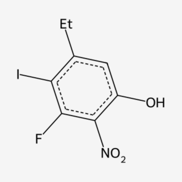 CCc1cc(O)c([N+](=O)[O-])c(F)c1I